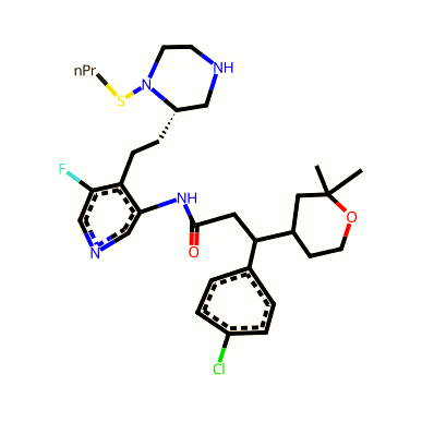 CCCSN1CCNC[C@@H]1CCc1c(F)cncc1NC(=O)CC(c1ccc(Cl)cc1)C1CCOC(C)(C)C1